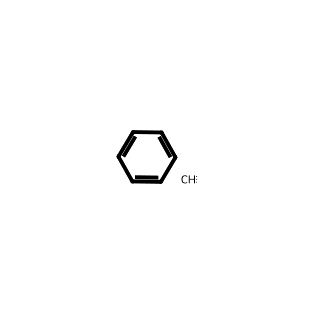 [CH].c1ccccc1